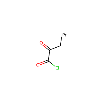 CC(C)CC(=O)C(=O)Cl